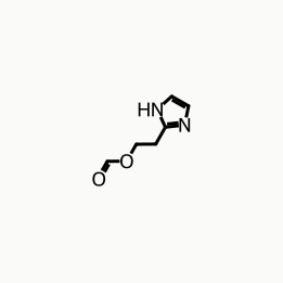 O=COCCc1ncc[nH]1